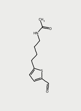 CC(=O)NCCCCc1ccc(C=O)s1